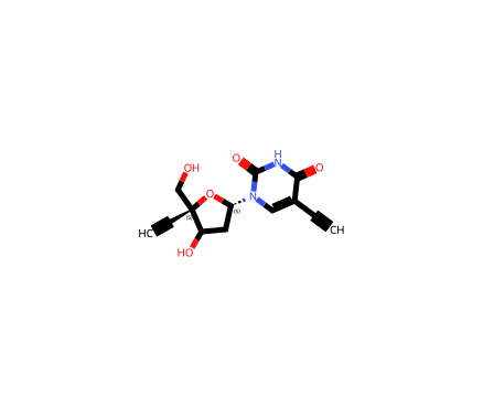 C#Cc1cn([C@@H]2CC(O)[C@](C#C)(CO)O2)c(=O)[nH]c1=O